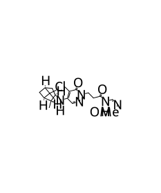 CO/N=C\NC(=O)CCn1ncc(N[C@@H]2C[C@@H]3C[C@H]([C@H]2C)C3(C)C)c(Cl)c1=O